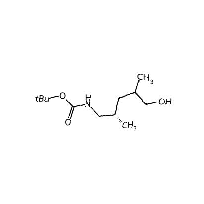 CC(CO)C[C@H](C)CNC(=O)OC(C)(C)C